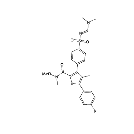 CON(C)C(=O)c1sc(-c2ccc(F)cc2)c(C)c1-c1ccc(S(=O)(=O)N=CN(C)C)cc1